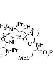 CCOC(=O)[C@H](CCSC)NC(=O)[C@@H]1CCCN1C(=O)/C(C)=C/[C@H](C(C)C)N(C)C(=O)C(NC(=O)[C@H]1CCCCN1C(C)C)C(C)(C)C